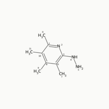 Cc1nc(NN)c(C)c(C)c1C